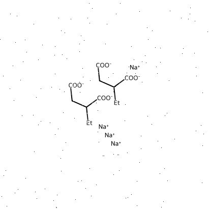 CCC(CC(=O)[O-])C(=O)[O-].CCC(CC(=O)[O-])C(=O)[O-].[Na+].[Na+].[Na+].[Na+]